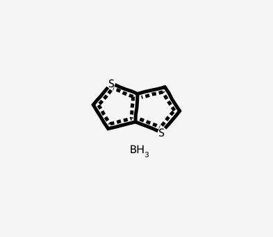 B.c1cc2sccc2s1